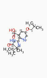 C=C(C)COc1cnc(C2=NC(C)(C(C)C)C(=O)N2)c(C(=O)O)c1